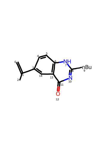 C=C(C)c1ccc2[nH]c(CCCC)nc(=O)c2c1